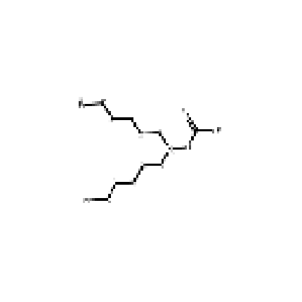 CCCC(=O)ON(CCCCCC(C)C)CCCCCC(C)C